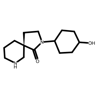 O=C1N(C2CCC(O)CC2)CC[C@@]12CCCNC2